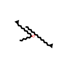 CCCCCCC(CCCCCCCCC1CC1)OC(CCCCCC)CCCCCCCCC1CC1